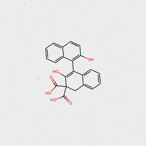 O=C(O)C1(C(=O)O)Cc2ccccc2C(c2c(O)ccc3ccccc23)=C1O